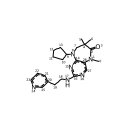 CN1C(=O)C(C)(C)CN(C2CCCC2)c2nc(NCCc3cccnc3)ncc21